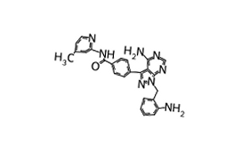 Cc1ccnc(NC(=O)c2ccc(-c3nn(Cc4ccccc4N)c4ncnc(N)c34)cc2)c1